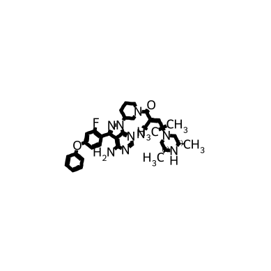 C[C@@H]1CN(C(C)(C)C=C(C#N)C(=O)N2CCCC(n3nc(-c4ccc(Oc5ccccc5)cc4F)c4c(N)ncnc43)C2)C[C@H](C)N1